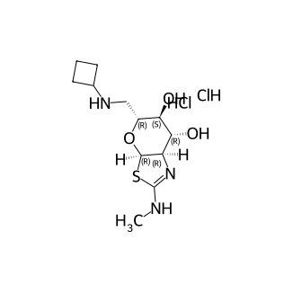 CNC1=N[C@@H]2[C@@H](O)[C@H](O)[C@@H](CNC3CCC3)O[C@@H]2S1.Cl.Cl